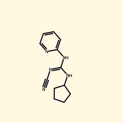 N#CN=C(Nc1ccccn1)NC1CCCC1